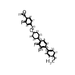 C=Cc1ccc(-c2ccc(C3CCC(OCc4ccc(C5CO5)c(F)c4)CC3)c(F)c2F)cc1